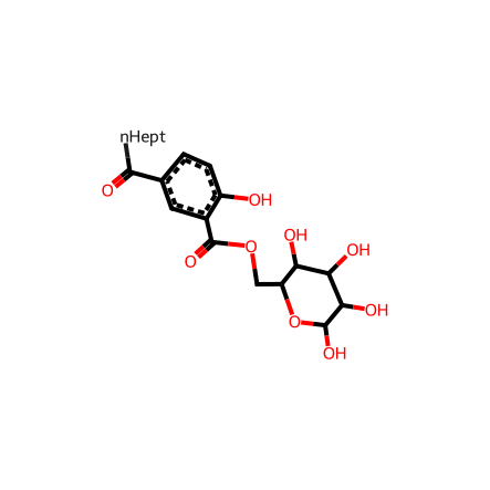 CCCCCCCC(=O)c1ccc(O)c(C(=O)OCC2OC(O)C(O)C(O)C2O)c1